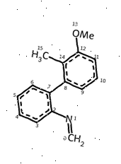 C=Nc1ccccc1-c1cccc(OC)c1C